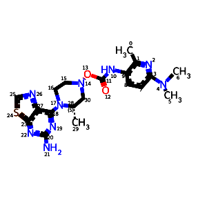 Cc1nc(N(C)C)ccc1NC(=O)ON1CCN(c2nc(N)nc3scnc23)[C@@H](C)C1